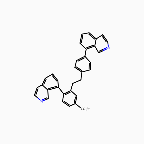 CCOC(=O)c1ccc(-c2cccc3ccncc23)c(CCc2ccc(-c3cccc4ccncc34)cc2)c1